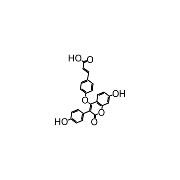 O=C(O)/C=C/c1ccc(Oc2c(-c3ccc(O)cc3)c(=O)oc3cc(O)ccc23)cc1